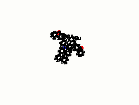 CC(CC(c1ccc(-c2ccc3c(c2)C2(c4ccccc4-3)c3ccccc3-c3ccc(N(c4ccc(-c5ccc6oc7ccccc7c6c5)cc4)c4ccc(-c5ccc6oc7ccccc7c6c5)cc4)cc32)cc1)C(C)C(C)(C)C)C(C)(C)C